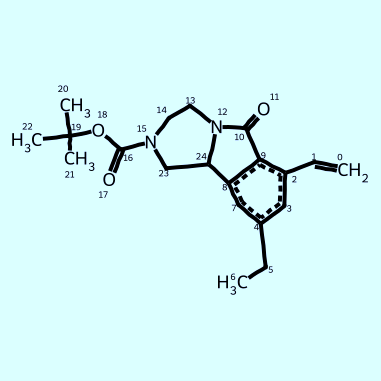 C=Cc1cc(CC)cc2c1C(=O)N1CCN(C(=O)OC(C)(C)C)CC21